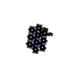 CCC(C)c1cc(C(C)C)cc(C(C)C)c1B1c2ccccc2N(c2ccccc2)c2cc(N(c3ccccc3)c3cc(N(c4ccccc4)c4ccccc4)cc(N(c4ccccc4)c4ccccc4)c3)ccc21